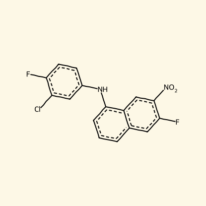 O=[N+]([O-])c1cc2c(Nc3ccc(F)c(Cl)c3)cccc2cc1F